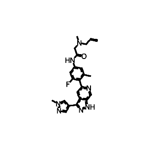 C=CCN(C)CC(=O)Nc1cc(C)c(-c2cc3c(-c4cnn(C)c4)n[nH]c3cn2)c(F)c1